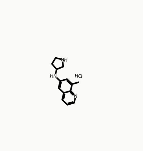 Cc1cc(NC2CCNC2)cc2cccnc12.Cl